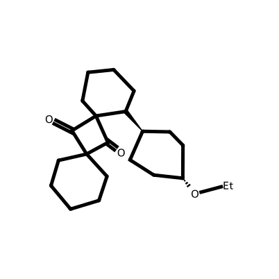 CCO[C@H]1CC[C@H](C2CCCCC23C(=O)C2(CCCCC2)C3=O)CC1